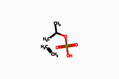 C=C.CC(C)OS(=O)(=O)O